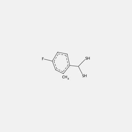 C.Fc1ccc(C(S)S)cc1